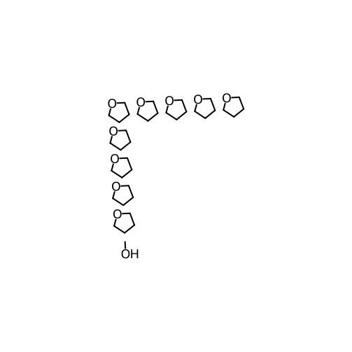 C1CCOC1.C1CCOC1.C1CCOC1.C1CCOC1.C1CCOC1.C1CCOC1.C1CCOC1.C1CCOC1.C1CCOC1.CO